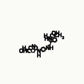 CC(C)(O)c1cccc2c(CCNc3ccc(Nc4ccnc5c4CCC5(C)C=O)cc3)c[nH]c12